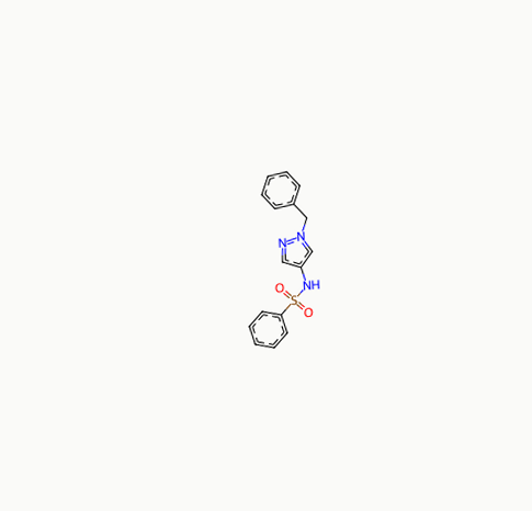 O=S(=O)(Nc1cnn(Cc2ccccc2)c1)c1ccccc1